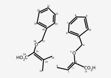 C/C=C(\OCc1ccccc1)C(=O)O.CC(C)=C(OCc1ccccc1)C(=O)O